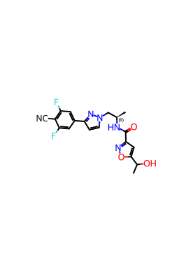 CC(O)c1cc(C(=O)N[C@H](C)Cn2ccc(-c3cc(F)c(C#N)c(F)c3)n2)no1